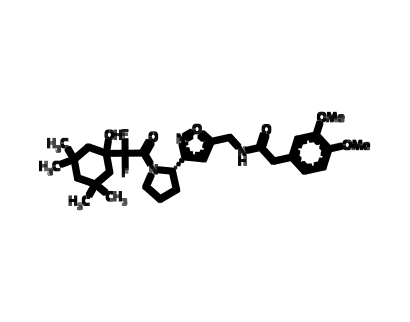 COc1ccc(CC(=O)NCc2cc([C@@H]3CCCN3C(=O)C(F)(F)C3(O)CC(C)(C)CC(C)(C)C3)no2)cc1OC